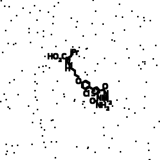 CC(C)C[C@H](NCCCCCOc1ccc(-c2cc(C(N)=O)c(NC(N)=O)s2)c(Cl)c1)C(=O)O